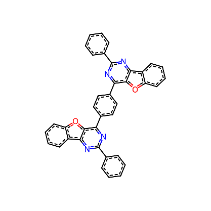 c1ccc(-c2nc(-c3ccc(-c4nc(-c5ccccc5)nc5c4oc4ccccc45)cc3)c3oc4ccccc4c3n2)cc1